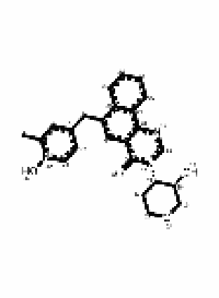 Cc1cc(Cc2cc3c(=O)n([C@H]4CCOC[C@@H]4O)cnc3c3ccccc23)cc[n+]1O